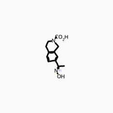 C/C(=N\O)c1ccc2c(c1)CN(C(=O)O)CC2